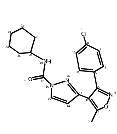 Cc1onc(-c2ccc(Cl)cc2)c1-c1ccn(C(=O)NC2CCCCC2)n1